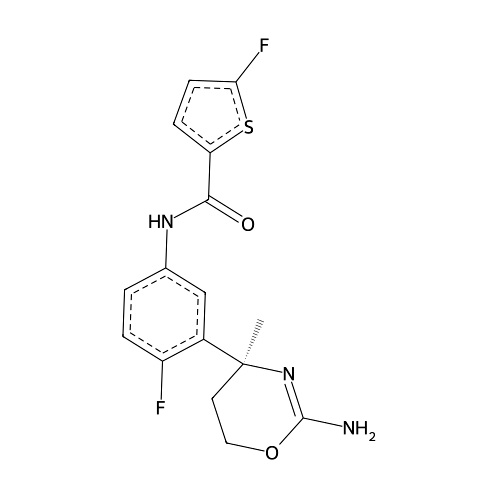 C[C@@]1(c2cc(NC(=O)c3ccc(F)s3)ccc2F)CCOC(N)=N1